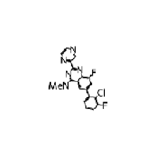 CNc1nc(-c2cnccn2)nc2c(F)cc(-c3cccc(F)c3Cl)cc12